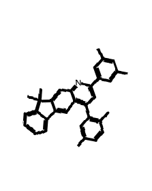 Cc1cc(C)cc(-c2cc(-c3cc(C)ccc3C)c3cc4c(cc3n2)C(C)(C)c2ccccc2-4)c1